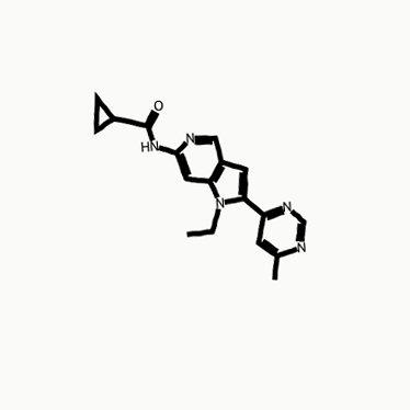 CCn1c(-c2cc(C)ncn2)cc2cnc(NC(=O)C3CC3)cc21